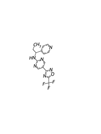 CCC(Nc1ncc(-c2noc(C(F)(F)F)n2)cn1)c1ccncc1